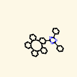 c1ccc(-c2nc(-c3ccccc3)nc(-c3ccc4c5ccccc5c5ccccc5c5ccccc5c5ccccc5c4c3)n2)cc1